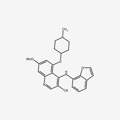 COc1cc(OC2CCN(C)CC2)c2c(Nc3cccc4ccoc34)c(C#N)cnc2c1